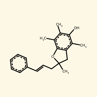 Cc1c(C)c2c(c(C)c1O)CC(C)(CC=Cc1ccccc1)O2